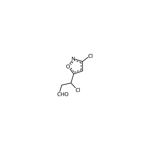 O=CCC(Cl)c1cc(Cl)no1